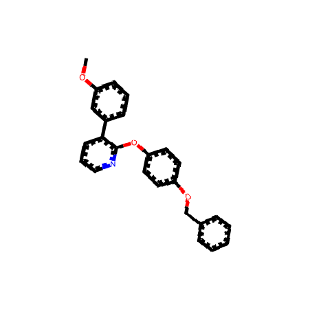 COc1cccc(-c2cccnc2Oc2ccc(OCc3ccccc3)cc2)c1